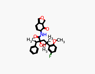 COc1ccc(F)cc1C(C)(C)CC(O)(C(=O)NC1C=CC2=COCC2C1=O)C(C)c1ccccc1